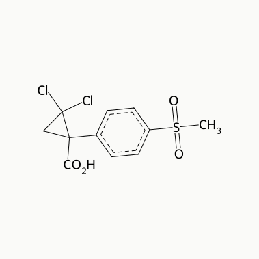 CS(=O)(=O)c1ccc(C2(C(=O)O)CC2(Cl)Cl)cc1